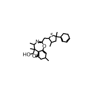 CC1=C2C(=CC(C)C1)OC(CC1SC(C)(C3=CC=CCC3)CC1C)=NC(C)C2(C)C(O)O